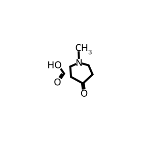 CN1CCC(=O)CC1.O=CO